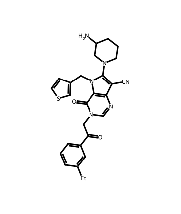 CCc1cccc(C(=O)Cn2cnc3c(C#N)c(N4CCCC(N)C4)n(Cc4ccsc4)c3c2=O)c1